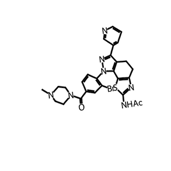 CC(=O)Nc1nc2c(s1)-c1c(c(-c3cccnc3)nn1-c1ccc(C(=O)N3CCN(C)CC3)cc1Br)CC2